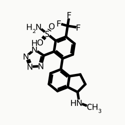 CNC1CCc2c(-c3ccc(C(F)(F)F)c(S(N)(=O)=O)c3-c3nnn[nH]3)cccc21